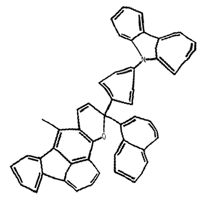 Cc1c2c(c3cccc4c3c1-c1ccccc1-4)OC(c1ccc(-n3c4ccccc4c4ccccc43)cc1)(c1cccc3ccccc13)C=C2